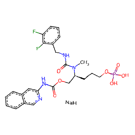 CN(C(=O)NCc1cccc(F)c1F)[C@@H](CCCOP(=O)(O)O)COC(=O)Nc1cc2ccccc2cn1.[NaH]